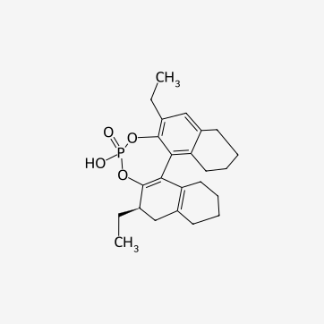 CCc1cc2c(c3c1OP(=O)(O)OC1=C3C3=C(CCCC3)C[C@H]1CC)CCCC2